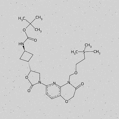 CC(C)(C)OC(=O)N[C@H]1C[C@H](C2CN(c3ccc4c(n3)N(COCCS(C)(C)C)C(=O)CO4)C(=O)O2)C1